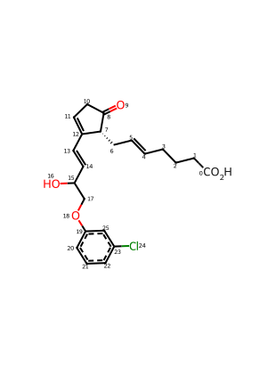 O=C(O)CCCC=CC[C@H]1C(=O)CC=C1/C=C/C(O)COc1cccc(Cl)c1